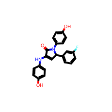 O=C1C(Nc2ccc(O)cc2)=CC(c2cccc(F)c2)N1c1ccc(O)cc1